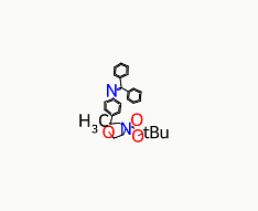 CC(C)(C)OC(=O)N1CCO[C@](C)(c2ccc(N=C(c3ccccc3)c3ccccc3)cc2)C1